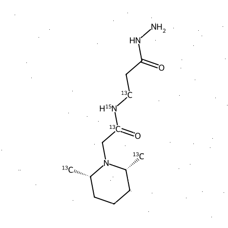 [13CH3][C@@H]1CCC[C@H]([13CH3])N1C[13C](=O)[15NH][13CH2]CC(=O)NN